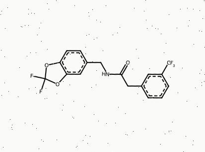 O=C(Cc1cccc(C(F)(F)F)c1)NCc1ccc2c(c1)OC(F)(F)O2